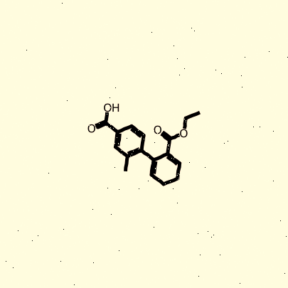 CCOC(=O)C1=CCCC=C1c1ccc(C(=O)O)cc1C